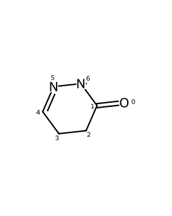 O=C1CCC=N[N]1